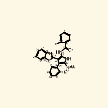 Cc1ccccc1C(=O)Nc1[nH]c([N+](=O)[O-])c(-c2ccccc2)c1-c1nc2ccccc2s1